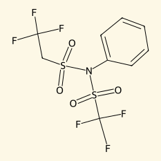 O=S(=O)(CC(F)(F)F)N(c1ccccc1)S(=O)(=O)C(F)(F)F